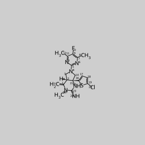 C=C1[C@@H]2CN(c3nc(C)c(F)c(C)n3)C[C@]2(c2ccc(Cl)s2)NC(=N)N1C